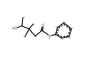 CC(O)C(C)(C)CC(=O)Oc1ccccc1